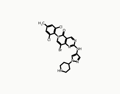 Cc1cc(Cl)c(-n2cc(Br)c3nc(Nc4cnn(C5CCNCC5)c4)ncc3c2=O)c(Cl)c1